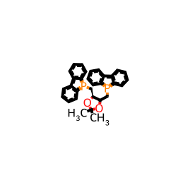 CC1(C)OC(Cp2c3ccccc3c3ccccc32)[C@H](Cp2c3ccccc3c3ccccc32)O1